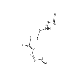 C=C/C=C\C=C(/C)CCCNCC=C